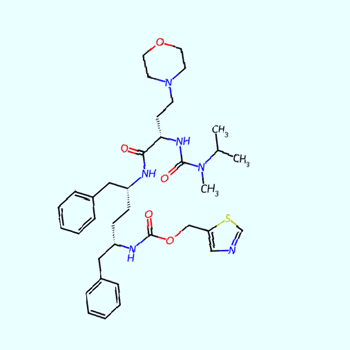 CC(C)N(C)C(=O)N[C@@H](CCN1CCOCC1)C(=O)N[C@H](CC[C@@H](Cc1ccccc1)NC(=O)OCc1cncs1)Cc1ccccc1